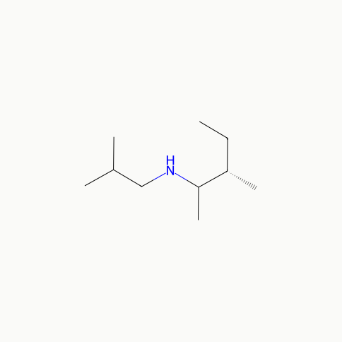 CC[C@H](C)C(C)NCC(C)C